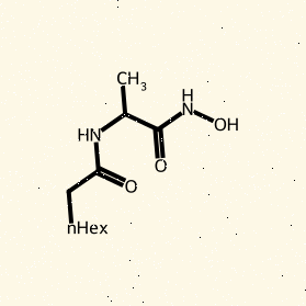 CCCCCCCC(=O)NC(C)C(=O)NO